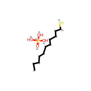 CCCCCCCCCCCS.O=P(O)(O)O